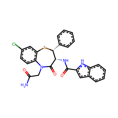 NC(=O)CN1C(=O)[C@@H](NC(=O)c2cc3ccccc3[nH]2)[C@@H](c2ccccc2)Sc2cc(Cl)ccc21